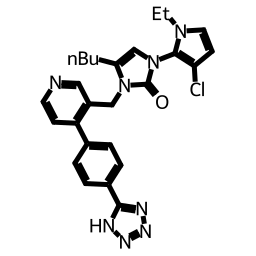 CCCCc1cn(-c2c(Cl)ccn2CC)c(=O)n1Cc1cnccc1-c1ccc(-c2nnn[nH]2)cc1